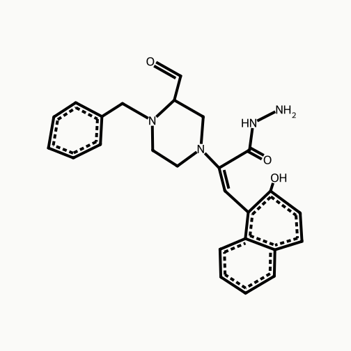 NNC(=O)C(=Cc1c(O)ccc2ccccc12)N1CCN(Cc2ccccc2)C(C=O)C1